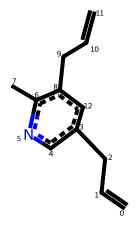 C=CCc1cnc(C)c(CC=C)c1